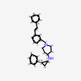 C(=C\c1cccc(CN2CCC(N[C@@H]3C[C@H]3c3ccccc3)CC2)c1)/c1ccccc1